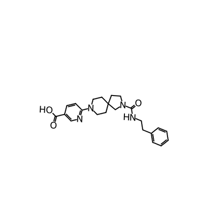 O=C(O)c1ccc(N2CCC3(CCN(C(=O)NCCc4ccccc4)C3)CC2)nc1